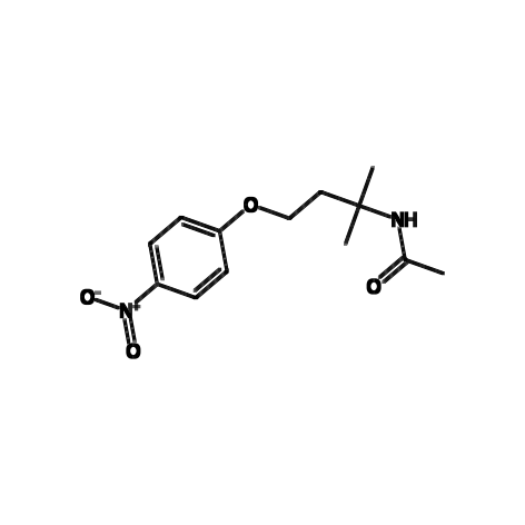 CC(=O)NC(C)(C)CCOc1ccc([N+](=O)[O-])cc1